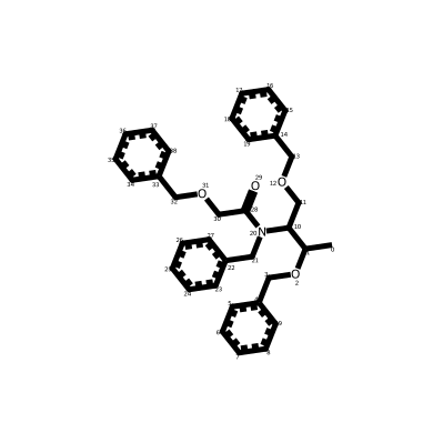 CC(OCc1ccccc1)C(COCc1ccccc1)N(Cc1ccccc1)C(=O)COCc1ccccc1